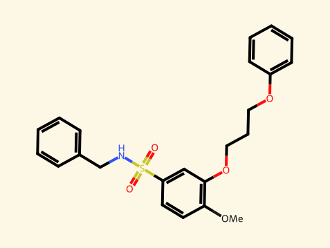 COc1ccc(S(=O)(=O)NCc2ccccc2)cc1OCCCOc1ccccc1